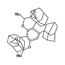 CC(C)(C)C(Oc1cc(C23CC4CC(CC(C4)C2)C3)c(C23CC4CC(CC(C4)C2)C3)c(OC(C2CO2)C(C)(C)C)c1C12CC3CC(CC(C3)C1)C2)C1CO1